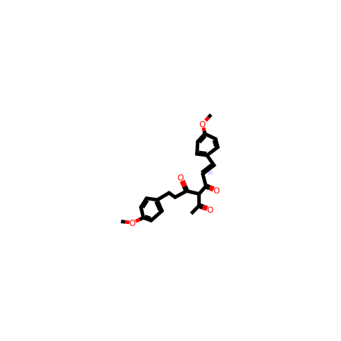 COc1ccc(/C=C/C(=O)C(C(C)=O)C(=O)CCc2ccc(OC)cc2)cc1